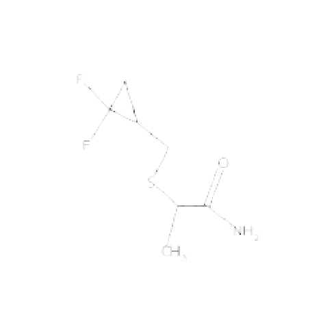 CC(SCC1CC1(F)F)C(N)=O